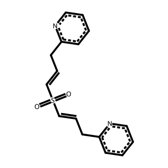 O=S(=O)(C=CCc1ccccn1)C=CCc1ccccn1